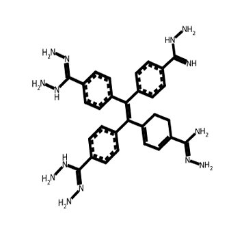 N=C(NN)c1ccc(/C(=C(\C2=CC=C(/C(N)=N/N)CC2)c2ccc(/C(=N/N)NN)cc2)c2ccc(/C(=N/N)NN)cc2)cc1